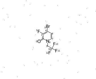 O=c1c(F)c(Br)ccn1CC(F)(F)F